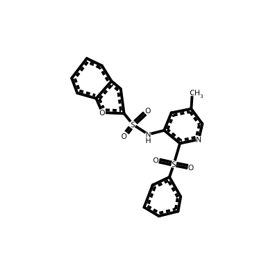 Cc1cnc(S(=O)(=O)c2ccccc2)c(NS(=O)(=O)c2cc3ccccc3o2)c1